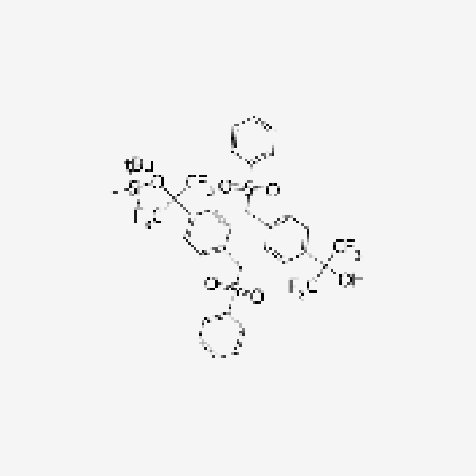 CC(C)(C)[Si](C)(C)OC(c1ccc(CS(=O)(=O)c2ccccc2)cc1)(C(F)(F)F)C(F)(F)F.O=S(=O)(Cc1ccc(C(O)(C(F)(F)F)C(F)(F)F)cc1)c1ccccc1